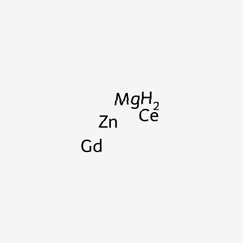 [Ce].[Gd].[MgH2].[Zn]